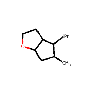 CC(C)C1C(C)CC2OCCC21